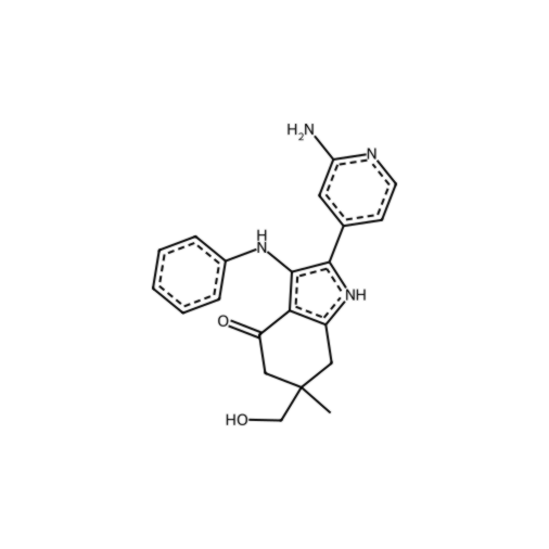 CC1(CO)CC(=O)c2c([nH]c(-c3ccnc(N)c3)c2Nc2ccccc2)C1